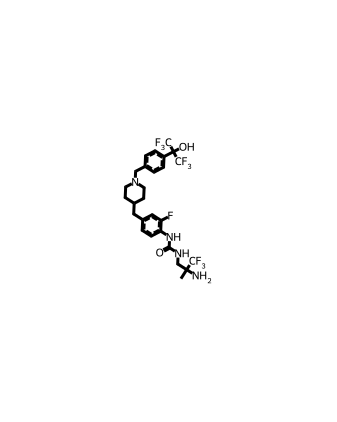 CC(N)(CNC(=O)Nc1ccc(CC2CCN(Cc3ccc(C(O)(C(F)(F)F)C(F)(F)F)cc3)CC2)cc1F)C(F)(F)F